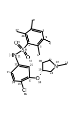 Cc1cc(C)c(C)c(S(=O)(=O)Nc2ccc(Cl)c(O[C@@H]3CCN(C)C3)c2)c1C